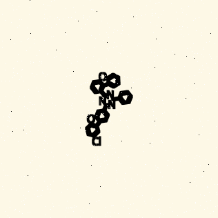 Clc1ccc2oc3cc(-c4nc(-c5ccccc5)nc(-c5cccc6oc7ccccc7c56)n4)ccc3c2c1